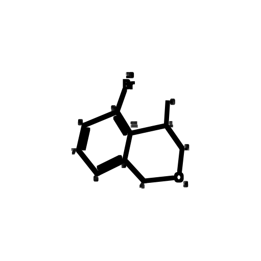 CC1COCc2cccc(Br)c21